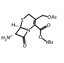 CC(=O)OCC1=C(C(=O)OC(C)(C)C)N2C(=O)[C@H](N)[C@H]2SC1